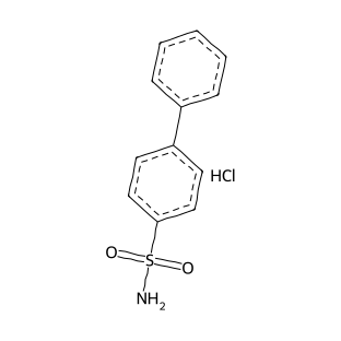 Cl.NS(=O)(=O)c1ccc(-c2ccccc2)cc1